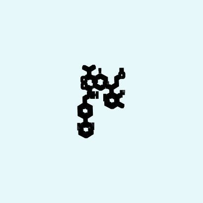 COCCC(c1nccc(C)c1F)N1C[C@@H](C)N(C(=O)C(C)C)[C@@H](C(=O)NCc2ccc(-c3ncccn3)cc2)C1